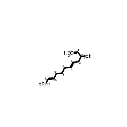 C=CC(CC)CC=CCCCC=CCCC